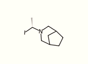 C[C@@H](I)N1CC2CCC(C2)C1